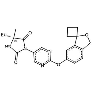 CC[C@@]1(C)NC(=O)N(c2cnc(Oc3ccc4c(c3)C3(CCC3)OC4)nc2)C1=O